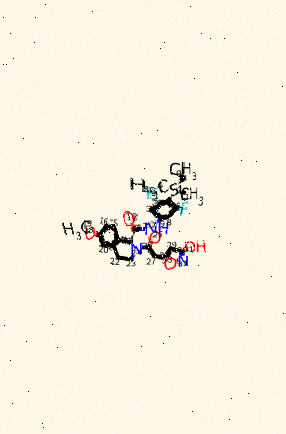 CC[Si](C)(C)c1c(F)cc(NC(=O)[C@H]2c3ccc(OC)cc3CCN2C(=O)Cc2cc(O)no2)cc1F